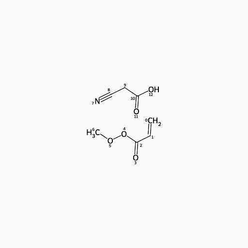 C=CC(=O)OOC.N#CCC(=O)O